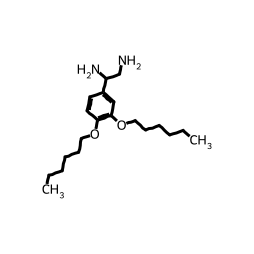 CCCCCCOc1ccc(C(N)CN)cc1OCCCCCC